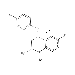 CC(=O)N1c2ccc(F)cc2C(Oc2ccc(F)cc2)CC1C